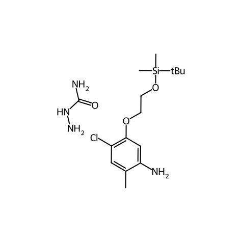 Cc1cc(Cl)c(OCCO[Si](C)(C)C(C)(C)C)cc1N.NNC(N)=O